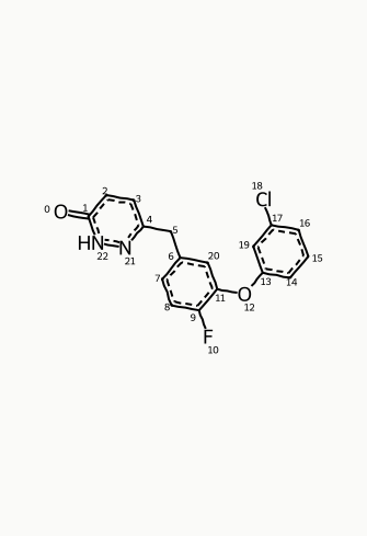 O=c1ccc(Cc2ccc(F)c(Oc3cccc(Cl)c3)c2)n[nH]1